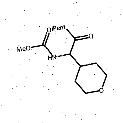 CCCC(C)C(=O)C(NC(=O)OC)C1CCOCC1